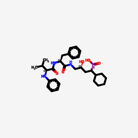 CC(C)[C@H](Nc1ccccc1)C(=O)N[C@@H](Cc1ccccc1)C(=O)NC[C@H](O)CC(C1CCCCC1)[PH](=O)O